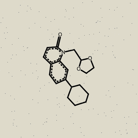 O=c1ccc2ccc(C3CCCCC3)cc2n1CC1OCCO1